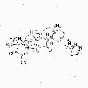 CC1(C)C(=O)C(C#N)=C[C@]2(C)C3=CC(=O)[C@@H]4[C@@H]5C[C@@](C)(Cc6nnco6)CC[C@]5(C)CC[C@@]4(C)[C@]3(C)CC[C@@H]12